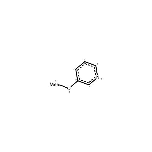 CSOc1cccnc1